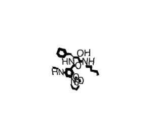 CCCCCNC[C@@H](O)[C@H](Cc1ccccc1)NC(=O)c1cc(NCC)cc(N2CCCCS2(=O)=O)c1